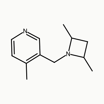 Cc1ccncc1CN1C(C)CC1C